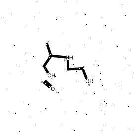 C=O.CC(CO)NCCO